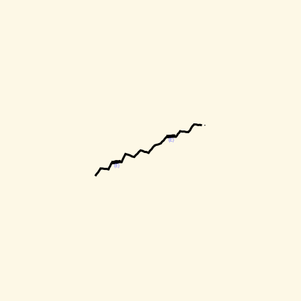 [CH2]CCC/C=C/CCCCCC/C=C/CCC